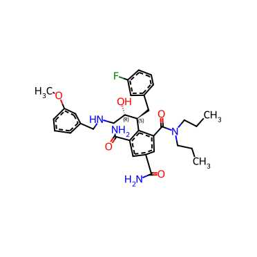 CCCN(CCC)C(=O)c1cc(C(N)=O)cc(C(N)=O)c1[C@H](Cc1cccc(F)c1)[C@@H](O)CNCc1cccc(OC)c1